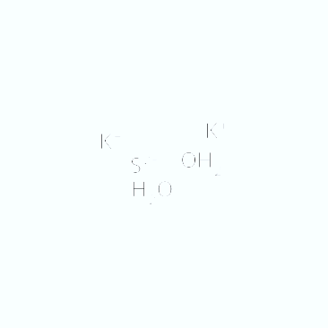 O.O.[K+].[K+].[S-2]